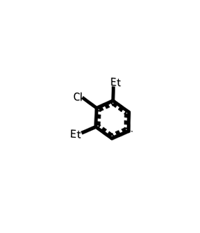 CCc1c[c]cc(CC)c1Cl